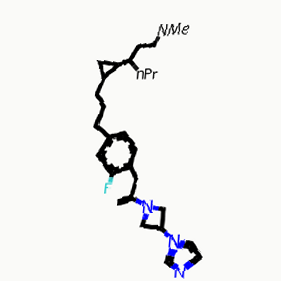 C=C(Cc1ccc(CCCC2CC2C(CCC)CCNC)cc1F)N1CC(n2ccnc2)C1